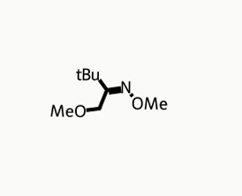 COC/C(=N\OC)C(C)(C)C